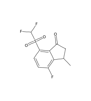 CC1CC(=O)c2c(S(=O)(=O)C(F)F)ccc(F)c21